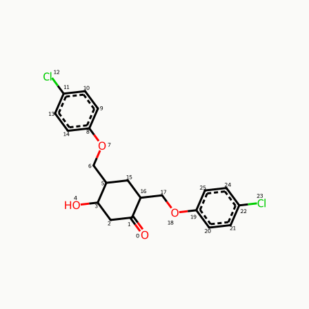 O=C1CC(O)C(COc2ccc(Cl)cc2)CC1COc1ccc(Cl)cc1